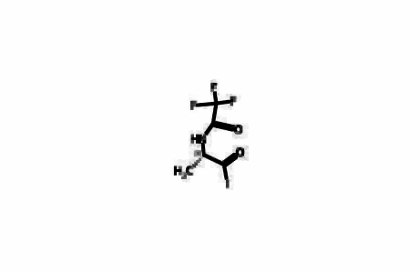 C[C@H](NC(=O)C(F)(F)F)C(=O)I